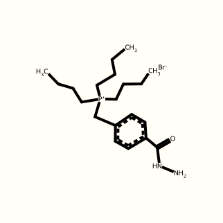 CCCC[P+](CCCC)(CCCC)Cc1ccc(C(=O)NN)cc1.[Br-]